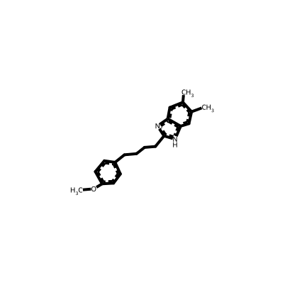 COc1ccc(CCCCc2nc3cc(C)c(C)cc3[nH]2)cc1